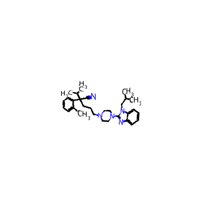 Cc1ccccc1C(C#N)(CCCN1CCN(c2nc3ccccc3n2CC(C)C)CC1)C(C)C